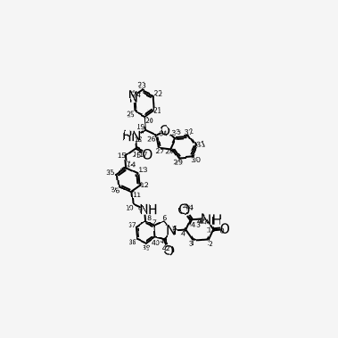 O=C1CCC(N2Cc3c(NCc4ccc(CC(=O)NC(c5cccnc5)c5cc6ccccc6o5)cc4)cccc3C2=O)C(=O)N1